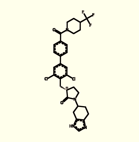 O=C(c1ccc(-c2cc(Cl)c(C[C@@H]3CCN(C4CCc5nc[nH]c5C4)C3=O)c(Cl)c2)cc1)N1CCC(C(F)(F)F)CC1